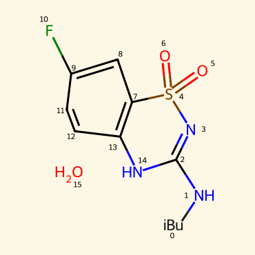 CCC(C)NC1=NS(=O)(=O)c2cc(F)ccc2N1.O